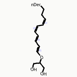 CCCCCCCCCCCC\C=C/C=C\C=C\C=C\OC(CO)CO